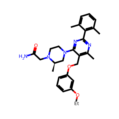 CCOc1cccc(OCc2c(C)nc(-c3c(C)cccc3C)nc2N2CCN(CC(N)=O)[C@H](C)C2)c1